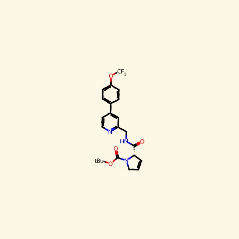 CC(C)(C)OC(=O)N1CC=C[C@H]1C(=O)NCc1cc(-c2ccc(OC(F)(F)F)cc2)ccn1